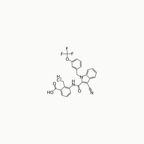 CCc1c(NC(=O)c2c(C#N)c3ccccc3n2Cc2cccc(OC(F)(F)F)c2)cccc1C(=O)O